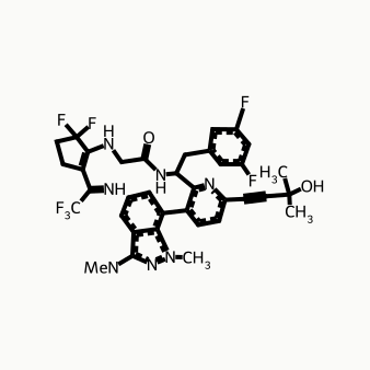 CNc1nn(C)c2c(-c3ccc(C#CC(C)(C)O)nc3C(Cc3cc(F)cc(F)c3)NC(=O)CNC3=C(C(=N)C(F)(F)F)CCC3(F)F)cccc12